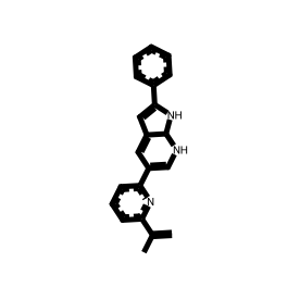 C=C(C)c1cccc(C2=CNC3NC(c4ccccc4)=CC3=C2)n1